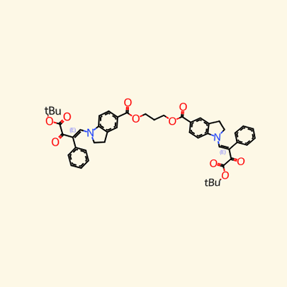 CC(C)(C)OC(=O)C(=O)/C(=C/N1CCc2cc(C(=O)OCCCOC(=O)c3ccc4c(c3)CCN4/C=C(/C(=O)C(=O)OC(C)(C)C)c3ccccc3)ccc21)c1ccccc1